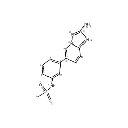 CS(=O)(=O)Nc1cccc(-c2ccc3nc(N)nn3c2)c1